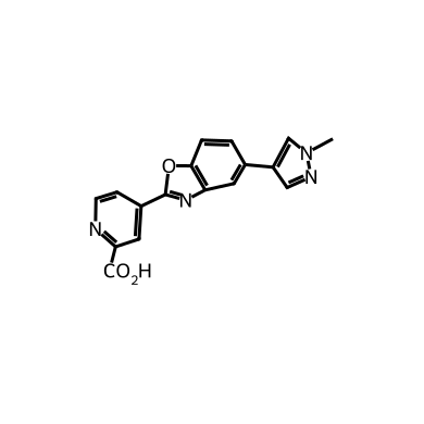 Cn1cc(-c2ccc3oc(-c4ccnc(C(=O)O)c4)nc3c2)cn1